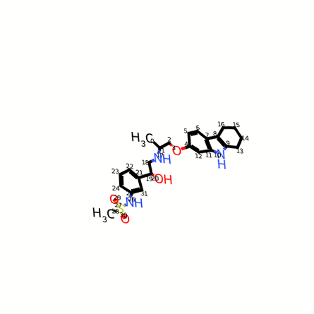 CC(COc1ccc2c3c([nH]c2c1)CCCC3)NCC(O)c1cccc(NS(C)(=O)=O)c1